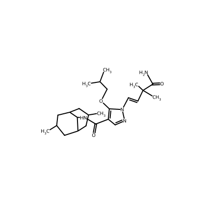 CC(C)COc1c(C(=O)NC2C3CC(C)CC2CC(C)C3)cnn1/C=C/C(C)(C)C(N)=O